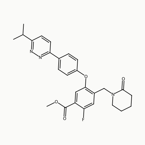 COC(=O)c1cc(Oc2ccc(-c3ccc(C(C)C)nn3)cc2)c(CN2CCCCC2=O)cc1F